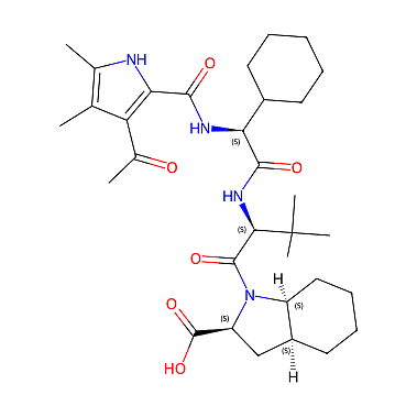 CC(=O)c1c(C(=O)N[C@H](C(=O)N[C@H](C(=O)N2[C@H](C(=O)O)C[C@@H]3CCCC[C@@H]32)C(C)(C)C)C2CCCCC2)[nH]c(C)c1C